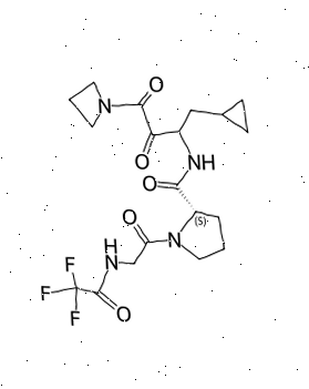 O=C(C(=O)N1CCC1)C(CC1CC1)NC(=O)[C@@H]1CCCN1C(=O)CNC(=O)C(F)(F)F